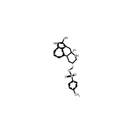 CCCc1[nH]c2cccc3c2c1C[C@H]1NC[C@H](COS(=O)(=O)c2ccc(C)cc2)CC31